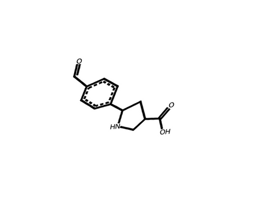 O=Cc1ccc(C2CC(C(=O)O)CN2)cc1